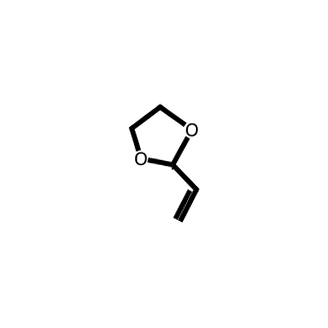 C=C[C]1OCCO1